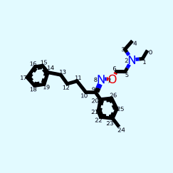 CCN(CC)CCON=C(CCCCc1ccccc1)c1ccc(C)cc1